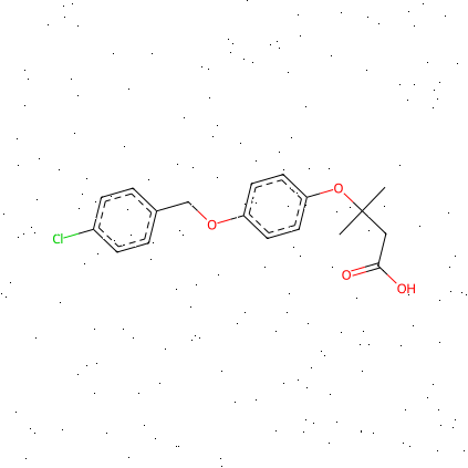 CC(C)(CC(=O)O)Oc1ccc(OCc2ccc(Cl)cc2)cc1